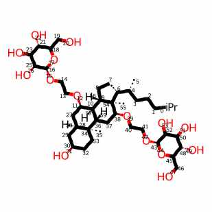 CC(C)CCC[C@@H](C)[C@H]1CC[C@H]2[C@@H]3[C@H](OCCO[C@@H]4OC(CO)[C@@H](O)C(O)[C@@H]4O)C[C@@H]4C[C@H](O)CC[C@]4(C)[C@H]3C[C@H](OCCO[C@@H]3OC(CO)[C@@H](O)C(O)C3O)[C@]12C